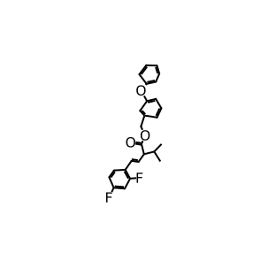 CC(C)C(C=Cc1ccc(F)cc1F)C(=O)OCc1cccc(Oc2ccccc2)c1